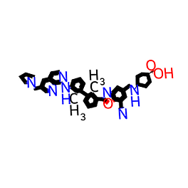 Cc1c(Nc2nccc3cc(CN4CCCC4)cnc23)cccc1-c1cccc(-c2nc3cc(CN[C@H]4CC[C@@H](C(=O)O)CC4)cc(C#N)c3o2)c1C